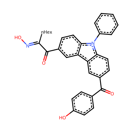 CCCCCC/C(=N\O)C(=O)c1ccc2c(c1)c1cc(C(=O)c3ccc(O)cc3)ccc1n2-c1ccccc1